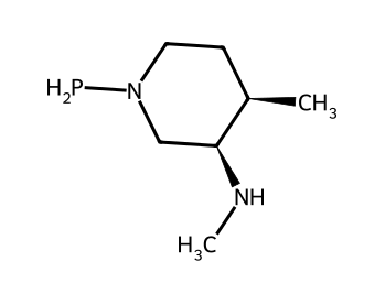 CN[C@H]1CN(P)CC[C@H]1C